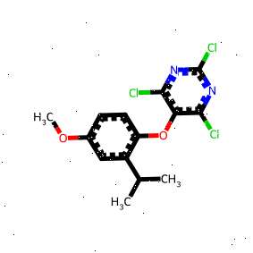 COc1ccc(Oc2c(Cl)nc(Cl)nc2Cl)c(C(C)C)c1